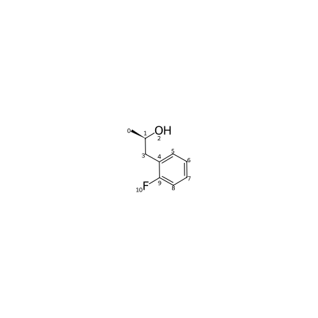 C[C@@H](O)Cc1ccccc1F